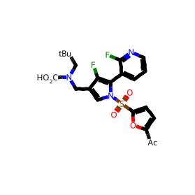 CC(=O)c1ccc(S(=O)(=O)n2cc(CN(CC(C)(C)C)C(=O)O)c(F)c2-c2cccnc2F)o1